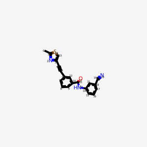 Cc1nc(C#Cc2cccc(C(=O)Nc3cccc(C#N)c3)c2)cs1